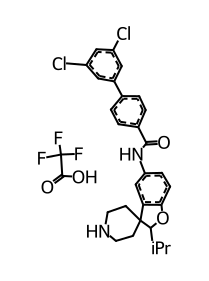 CC(C)C1Oc2ccc(NC(=O)c3ccc(-c4cc(Cl)cc(Cl)c4)cc3)cc2C12CCNCC2.O=C(O)C(F)(F)F